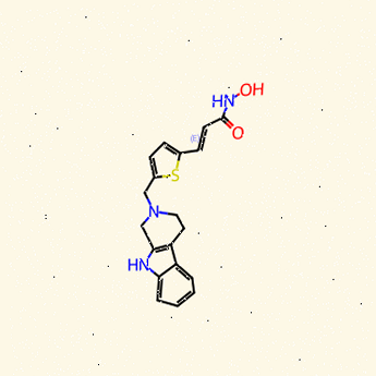 O=C(/C=C/c1ccc(CN2CCc3c([nH]c4ccccc34)C2)s1)NO